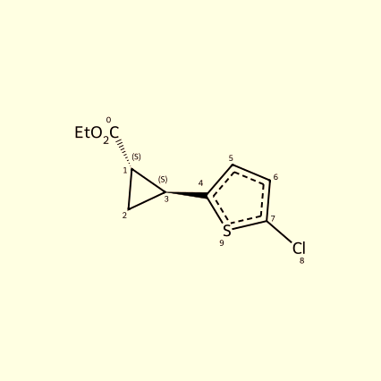 CCOC(=O)[C@H]1C[C@@H]1c1ccc(Cl)s1